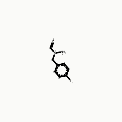 NN(C=O)Cc1ccc(F)cc1